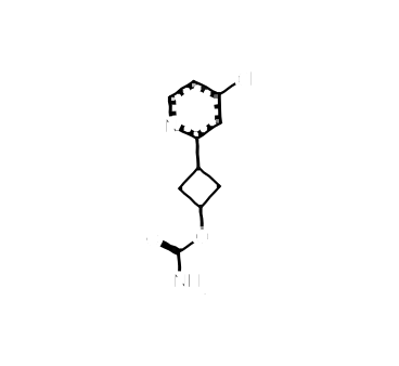 NC(=O)OC1CC(c2cc(Cl)ccn2)C1